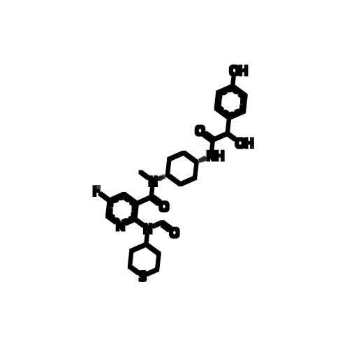 CN(C(=O)c1cc(F)cnc1N(C=O)C1CCSCC1)[C@H]1CC[C@@H](NC(=O)C(O)c2ccc(O)cc2)CC1